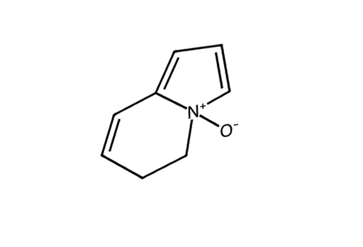 [O-][N+]12C=CC=C1C=CCC2